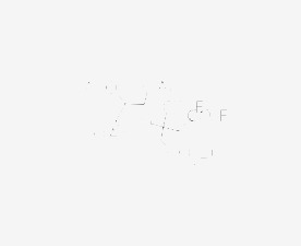 CC(=O)OCC(COC(C)=O)OC(C)=O.CCOC(=O)CC(O)(CC(=O)OCC)C(=O)OCC